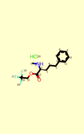 CN[C@@H](CCCc1ccccc1)C(=O)OCC(F)(F)F.Cl